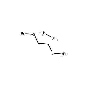 BB.CC(C)(C)SCCSC(C)(C)C